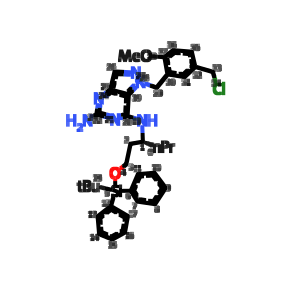 CCC[C@@H](CCO[Si](c1ccccc1)(c1ccccc1)C(C)(C)C)Nc1nc(N)nc2cnn(Cc3cc(CCl)ccc3OC)c12